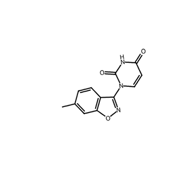 Cc1ccc2c(-n3ccc(=O)[nH]c3=O)noc2c1